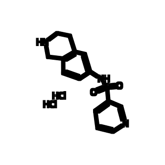 Cl.Cl.O=S(=O)(Nc1ccc2c(c1)CCNC2)c1cccnc1